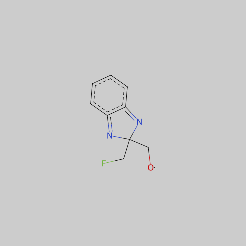 [O]CC1(CF)N=c2ccccc2=N1